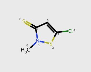 Cn1sc(Cl)cc1=S